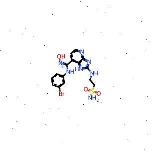 NS(=O)(=O)CCNc1nc2nccc(/C(=N\O)Nc3cccc(Br)c3)c2[nH]1